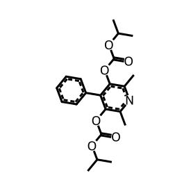 Cc1nc(C)c(OC(=O)OC(C)C)c(-c2ccccc2)c1OC(=O)OC(C)C